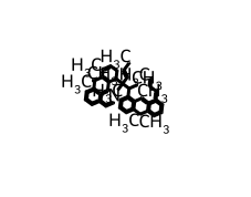 C/C=C/C=c1/cccc2c1=C(C)c1c(C(CC)C(C)(C=CCC)C3CC=C(C)C4=C3c3nccc5cccc(c35)C4(C)C)cccc1C2(C)C